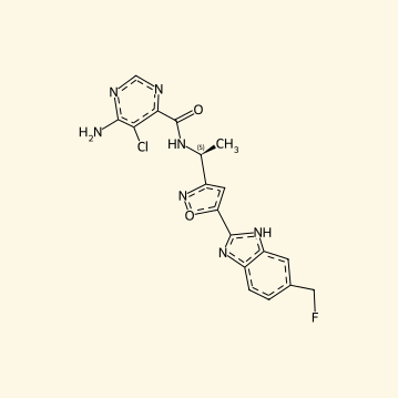 C[C@H](NC(=O)c1ncnc(N)c1Cl)c1cc(-c2nc3ccc(CF)cc3[nH]2)on1